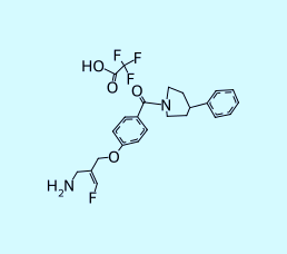 NCC(=CF)COc1ccc(C(=O)N2CCC(c3ccccc3)CC2)cc1.O=C(O)C(F)(F)F